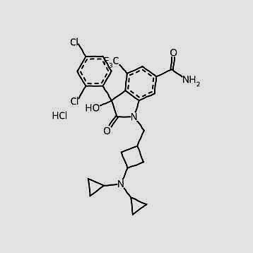 Cl.NC(=O)c1cc2c(c(C(F)(F)F)c1)C(O)(c1ccc(Cl)cc1Cl)C(=O)N2CC1CC(N(C2CC2)C2CC2)C1